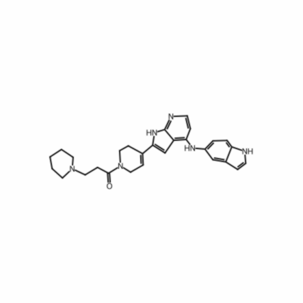 O=C(CCN1CCCCC1)N1CC=C(c2cc3c(Nc4ccc5[nH]ccc5c4)ccnc3[nH]2)CC1